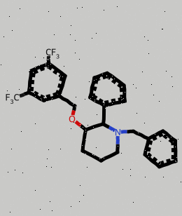 FC(F)(F)c1cc(COC2CCCN(Cc3ccccc3)C2c2ccccc2)cc(C(F)(F)F)c1